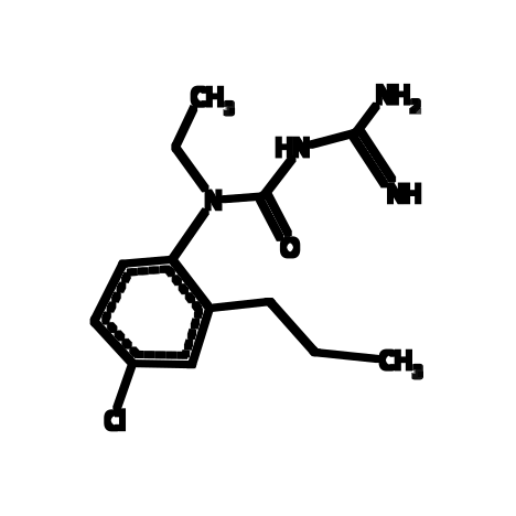 CCCc1cc(Cl)ccc1N(CC)C(=O)NC(=N)N